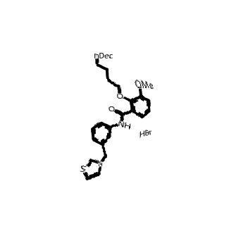 Br.CCCCCCCCCCCCCCOc1c(OC)cccc1C(=O)Nc1cccc(CN2C=CSC2)c1